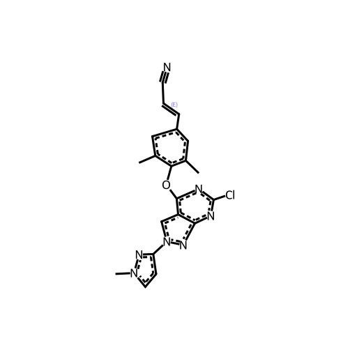 Cc1cc(/C=C/C#N)cc(C)c1Oc1nc(Cl)nc2nn(-c3ccn(C)n3)cc12